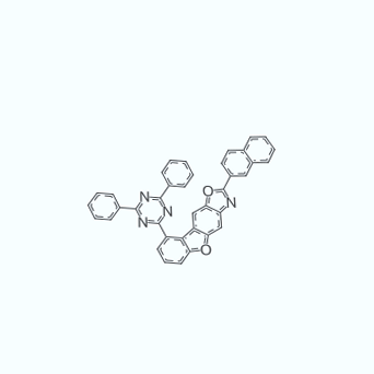 c1ccc(-c2nc(-c3ccccc3)nc(-c3cccc4oc5cc6nc(-c7ccc8ccccc8c7)oc6cc5c34)n2)cc1